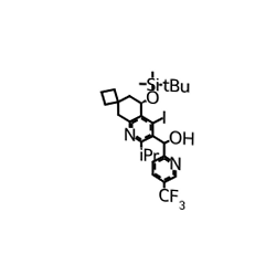 CC(C)c1nc2c(c(I)c1C(O)c1ccc(C(F)(F)F)cn1)[C@H](O[Si](C)(C)C(C)(C)C)CC1(CCC1)C2